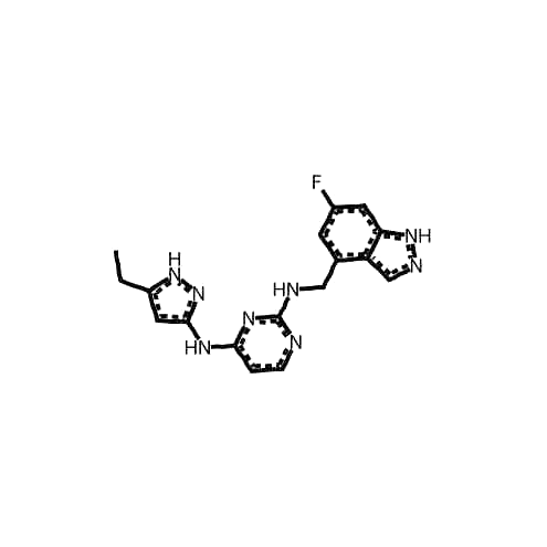 CCc1cc(Nc2ccnc(NCc3cc(F)cc4[nH]ncc34)n2)n[nH]1